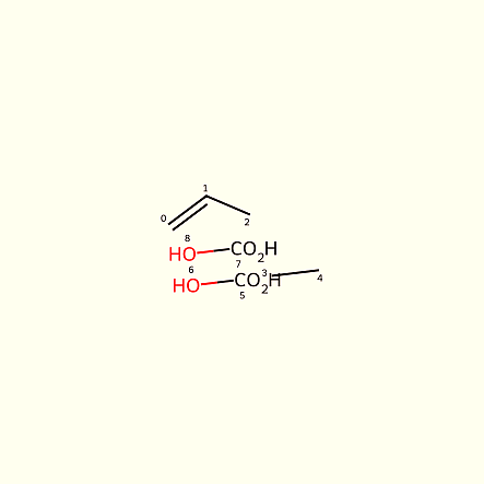 C=CC.CC.O=C(O)O.O=C(O)O